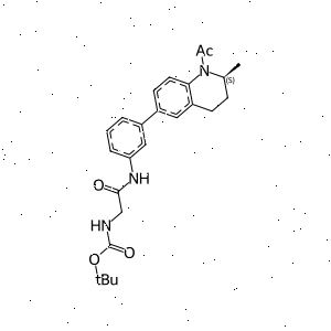 CC(=O)N1c2ccc(-c3cccc(NC(=O)CNC(=O)OC(C)(C)C)c3)cc2CC[C@@H]1C